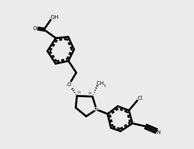 C[C@H]1[C@@H](OCc2ccc(C(=O)O)cc2)CCN1c1ccc(C#N)c(Cl)c1